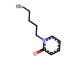 CC(C)(C)CCCCn1ccccc1=O